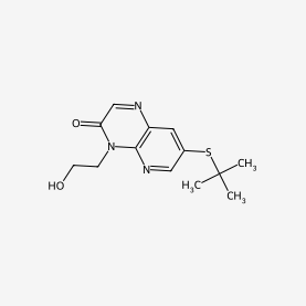 CC(C)(C)Sc1cnc2c(c1)ncc(=O)n2CCO